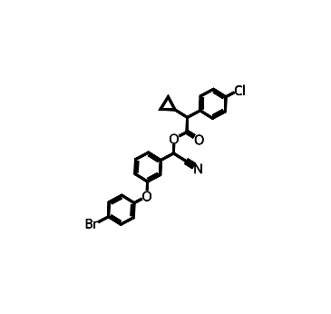 N#CC(OC(=O)C(c1ccc(Cl)cc1)C1CC1)c1cccc(Oc2ccc(Br)cc2)c1